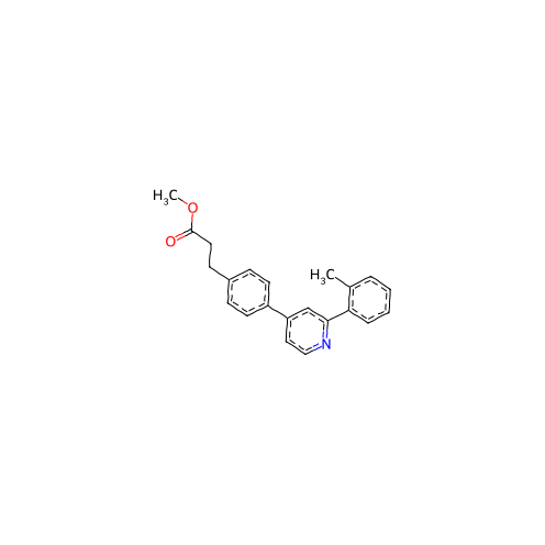 COC(=O)CCc1ccc(-c2ccnc(-c3ccccc3C)c2)cc1